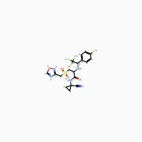 N#CC1(NC(=O)C(CS(=O)(=O)Cc2ncon2)N[C@H](c2ccc(F)cc2)C(F)(F)F)CC1